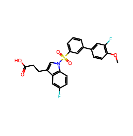 COc1ccc(-c2cccc(S(=O)(=O)n3cc(CCC(=O)O)c4cc(F)ccc43)c2)cc1F